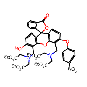 CCOC(=O)CN(CC(=O)OCC)Cc1c(O)ccc2c1Oc1c(ccc(Oc3ccc([N+](=O)[O-])cc3)c1CN(CC(=O)OCC)CC(=O)OCC)C21OC(=O)c2ccccc21